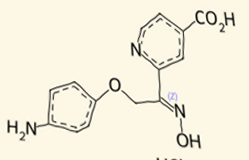 Cl.Nc1ccc(OC/C(=N\O)c2cc(C(=O)O)ccn2)cc1